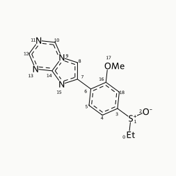 CC[S+]([O-])c1ccc(-c2cn3cncnc3n2)c(OC)c1